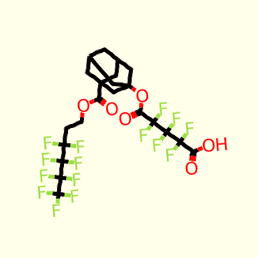 O=C(OCCC(F)(F)C(F)(F)C(F)(F)C(F)(F)F)C12CC3CC(CC(OC(=O)C(F)(F)C(F)(F)C(F)(F)C(=O)O)(C3)C1)C2